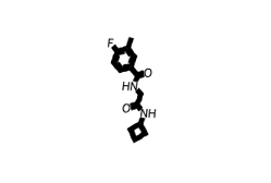 Cc1cc(C(=O)NCC(=O)NC2CCC2)ccc1F